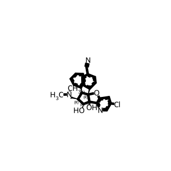 CN(C)C[C@@H]1[C@@H](O)[C@@]2(O)c3ncc(Cl)cc3O[C@@]2(c2ccc(C#N)cc2)[C@@H]1c1ccccc1